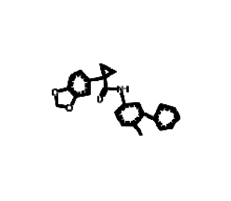 Cc1ccc(NC(=O)C2(c3ccc4c(c3)OCO4)CC2)cc1-c1ccccc1